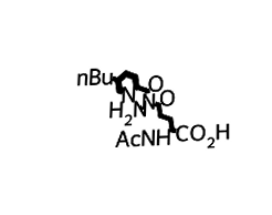 CCCCc1ccc(C(=O)N(N)C(=O)CC[C@H](NC(C)=O)C(=O)O)nc1